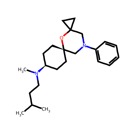 CC(C)CCN(C)[C@H]1CC[C@]2(CC1)CN(c1ccccc1)CC1(CC1)O2